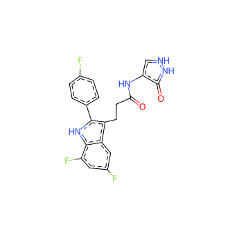 O=C(CCc1c(-c2ccc(F)cc2)[nH]c2c(F)cc(F)cc12)Nc1c[nH][nH]c1=O